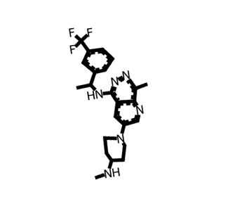 CNC1CCN(c2cnc3c(C)nnc(NC(C)c4cccc(C(F)(F)F)c4)c3c2)CC1